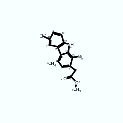 C.COC(=O)Cc1ccc2c([nH]c3ccc(Cl)cc32)c1Br